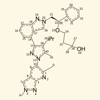 Cc1nc2nn(C)cc2cc1-n1nc(-c2cccc3nn(C[C@H](OCCC(C)(C)O)c4ccccc4)cc23)c(C(C)C)c1C